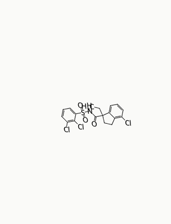 CCC1(C(=O)NS(=O)(=O)c2cccc(Cl)c2Cl)CCc2c(Cl)cccc21